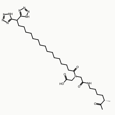 CC(=O)[C@@H](C)CCCCNC(=O)CN(CC(=O)O)C(=O)CCCCCCCCCCCCCCCC(c1nnn[nH]1)c1nnn[nH]1